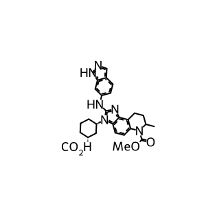 COC(=O)N1c2ccc3c(nc(Nc4ccc5cn[nH]c5c4)n3[C@@H]3CCC[C@@H](C(=O)O)C3)c2CCC1C